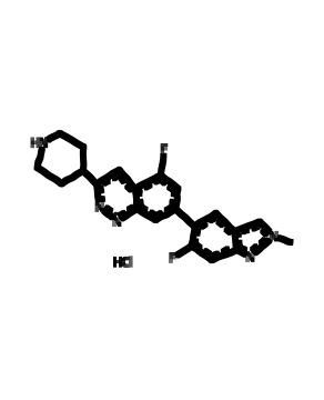 Cl.Cn1cc2cc(-c3cc(F)c4cc(C5CCNCC5)nnc4c3)c(F)cc2n1